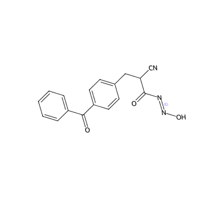 N#CC(Cc1ccc(C(=O)c2ccccc2)cc1)C(=O)/N=N/O